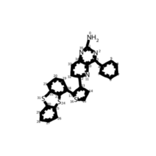 Nc1nc(-c2ccccc2)c2nc(-c3ccsc3-c3cccc4c3Sc3ccccc3S4)ccc2n1